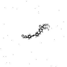 NC[C@@H](N)C(=O)N1CCC(Cc2ccc(C#Cc3ccc(COC=O)cc3)cc2)CC1